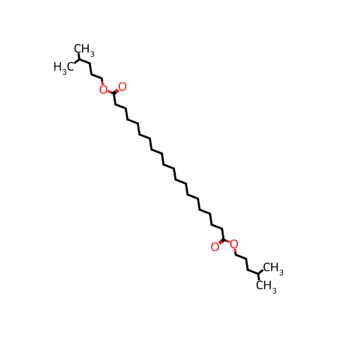 CC(C)CCCOC(=O)CCCCCCCCCCCCCCCCCCC(=O)OCCCC(C)C